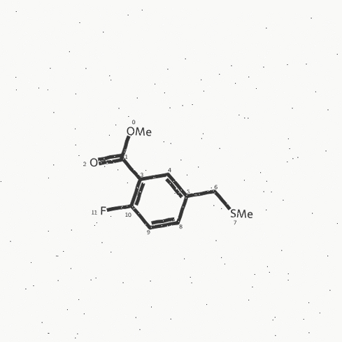 COC(=O)c1cc(CSC)ccc1F